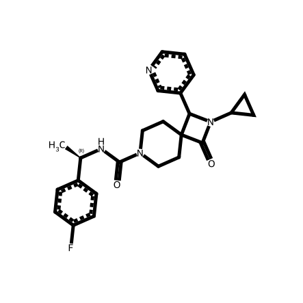 C[C@@H](NC(=O)N1CCC2(CC1)C(=O)N(C1CC1)C2c1cccnc1)c1ccc(F)cc1